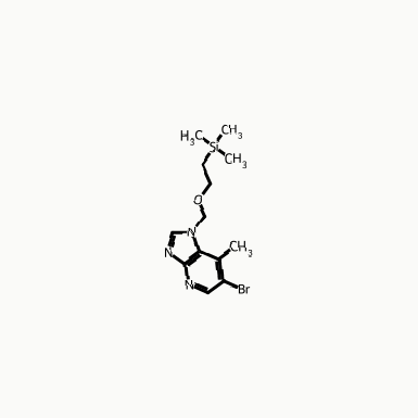 Cc1c(Br)cnc2ncn(COCC[Si](C)(C)C)c12